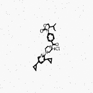 CC(C)C1COC(=O)N1c1ccc(C(=O)N2CCN(c3ncc(C4CC4)cc3C3CC3)CC2)cc1.Cl